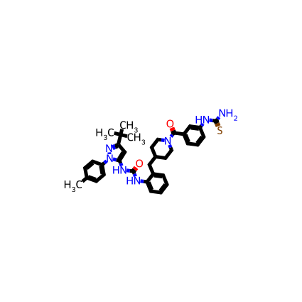 Cc1ccc(-n2nc(C(C)(C)C)cc2NC(=O)Nc2ccccc2CC2CCN(C(=O)c3cccc(NC(N)=S)c3)CC2)cc1